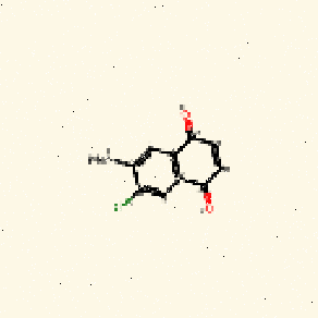 CNc1cc2c(cc1Cl)C(=O)C=CC2=O